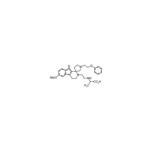 COc1ccc2[nH]c3c(c2c1)CCN(CCNC(C)C(=O)O)C31CCN(CCOc2ccccc2)C1